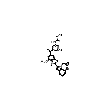 COc1cc(C(=O)N2C[C@H](F)C[C@@H](NC(=O)OC(C)(C)C)C2)cc2nc(-c3cc4cccc(Br)c4n3CC3CC3)n(C)c12